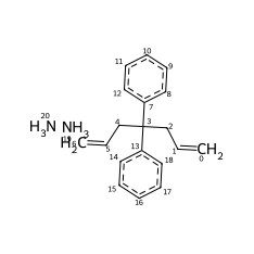 C=CCC(CC=C)(c1ccccc1)c1ccccc1.N.N